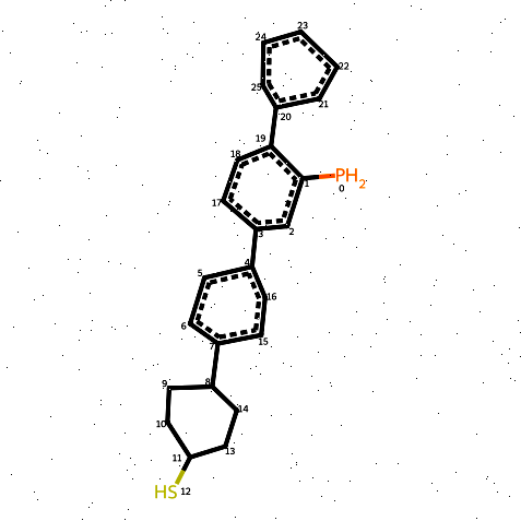 Pc1cc(-c2ccc(C3CCC(S)CC3)cc2)ccc1-c1ccccc1